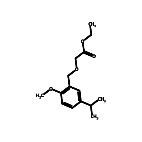 CCOC(=O)COCc1cc(C(C)C)ccc1OC